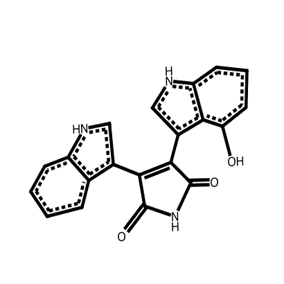 O=C1NC(=O)C(c2c[nH]c3cccc(O)c23)=C1c1c[nH]c2ccccc12